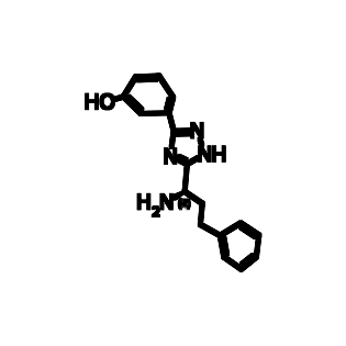 N[C@H](CCc1ccccc1)c1nc(-c2cccc(O)c2)n[nH]1